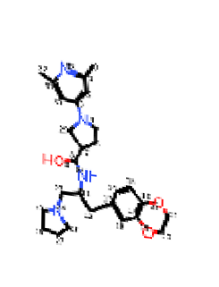 Cc1cc(N2CCC(C(O)NC(Cc3ccc4c(c3)OCCO4)CN3CCCC3)C2)cc(C)n1